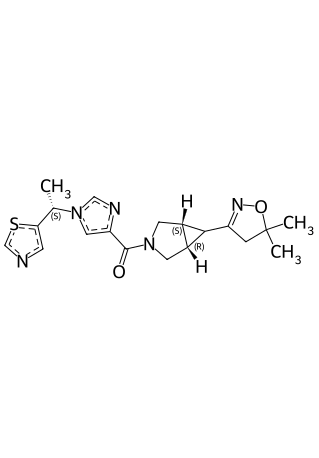 C[C@@H](c1cncs1)n1cnc(C(=O)N2C[C@@H]3C(C4=NOC(C)(C)C4)[C@@H]3C2)c1